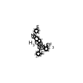 C[C@]12Cc3cnn(-c4ccc(F)cc4)c3C=C1CCC2CN(CCc1ccccc1F)S(=O)(=O)Cc1ccccc1C(F)(F)F